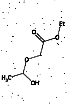 CCOC(=O)COC(C)O